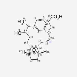 CC(c1ccccc1)C(O)CC[C@@H]1[C@H](C/C=C\CCCC(=O)O)[C@@H]2CC[C@H]1O2